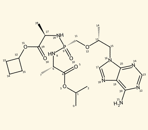 CC(C)OC(=O)[C@H](C)N[P@@](=O)(CO[C@H](C)Cn1cnc2c(N)ncnc21)N[C@H](C)C(=O)OC1CCC1